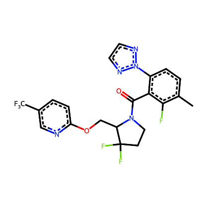 Cc1ccc(-n2nccn2)c(C(=O)N2CCC(F)(F)C2COc2ccc(C(F)(F)F)cn2)c1F